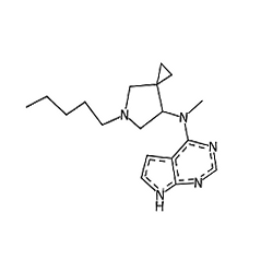 CCCCCN1CC(N(C)c2ncnc3[nH]ccc23)C2(CC2)C1